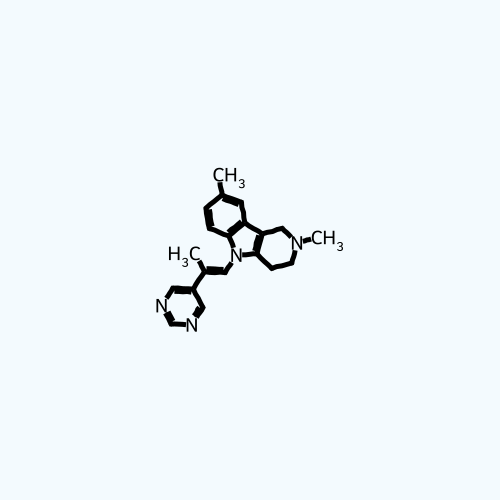 CC(=Cn1c2c(c3cc(C)ccc31)CN(C)CC2)c1cncnc1